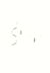 CC(=O)C=Cc1c(C)cc(C)cc1CCC(O)=S